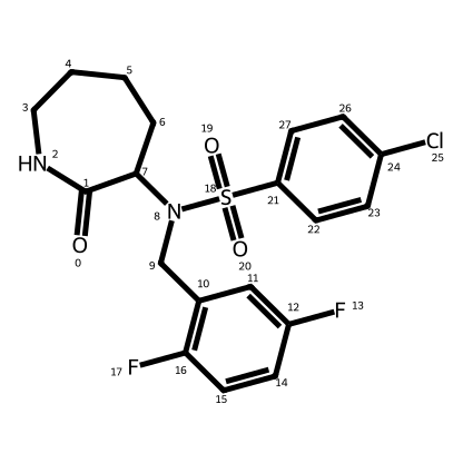 O=C1NCCCCC1N(Cc1cc(F)ccc1F)S(=O)(=O)c1ccc(Cl)cc1